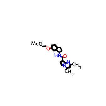 COCCOc1ccc2c(c1)C(NC(=O)c1ccn3c(C)cc(C)nc13)CC2